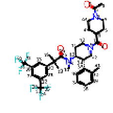 CC(=O)N1CCC(C(=O)N2CC[C@H](N(C)C(=O)C(C)(C)c3cc(C(F)(F)F)cc(C(F)(F)F)c3)[C@@H](c3ccccc3C)C2)CC1